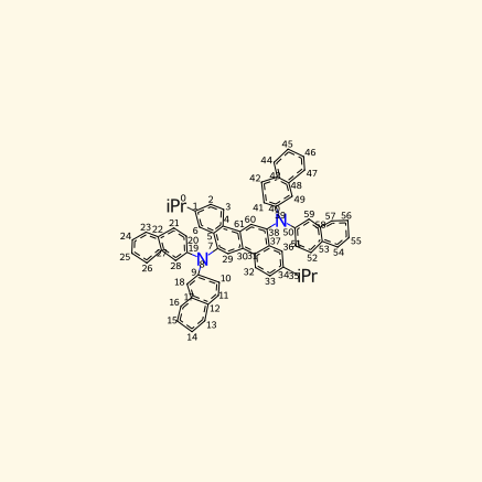 CC(C)c1ccc2c(c1)c(N(c1ccc3ccccc3c1)c1ccc3ccccc3c1)cc1c3ccc(C(C)C)cc3c(N(c3ccc4ccccc4c3)c3ccc4ccccc4c3)cc21